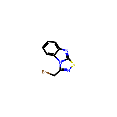 BrCc1nsc2nc3ccccc3n12